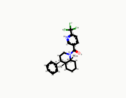 O=C(c1ccc(C(F)(F)F)nc1)N1CC[C@H](c2ccccc2)[C@H]2CCCC[C@H]21